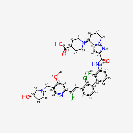 COc1cc(/C(F)=C/c2cccc(-c3cccc(NC(=O)c4cc5n(n4)CCC[C@@H]5N4CCC(C(=O)O)CC4)c3Cl)c2Cl)ncc1CN1CC[C@@H](O)C1